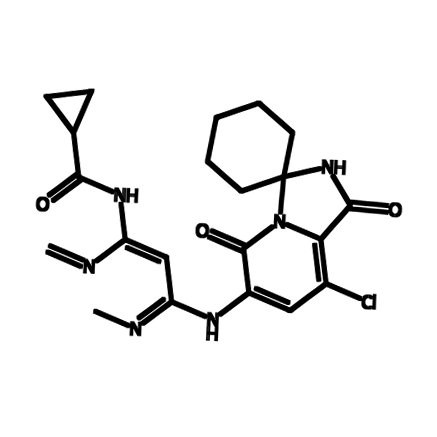 C=N/C(=C\C(=N/C)Nc1cc(Cl)c2n(c1=O)C1(CCCCC1)NC2=O)NC(=O)C1CC1